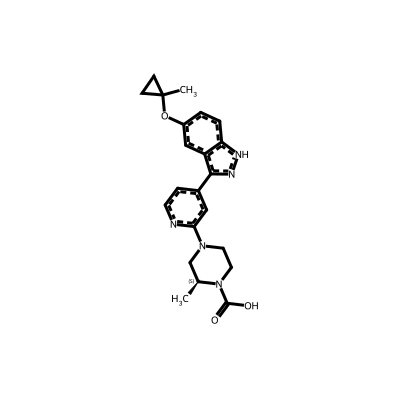 C[C@H]1CN(c2cc(-c3n[nH]c4ccc(OC5(C)CC5)cc34)ccn2)CCN1C(=O)O